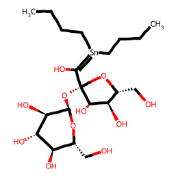 CCC[CH2][Sn]([CH2]CCC)=[C](O)[C@@]1(O[C@H]2O[C@H](CO)[C@@H](O)[C@H](O)[C@H]2O)O[C@H](CO)[C@@H](O)[C@@H]1O